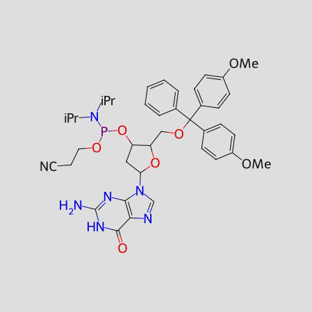 COc1ccc(C(OCC2OC(n3cnc4c(=O)[nH]c(N)nc43)CC2OP(OCCC#N)N(C(C)C)C(C)C)(c2ccccc2)c2ccc(OC)cc2)cc1